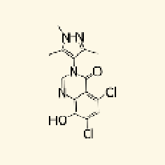 Cc1nn(C)c(C)c1-n1cnc2c(O)c(Cl)cc(Cl)c2c1=O